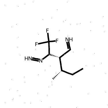 CC[C@H](C)[C@@H](C=N)C(N=N)C(F)(F)F